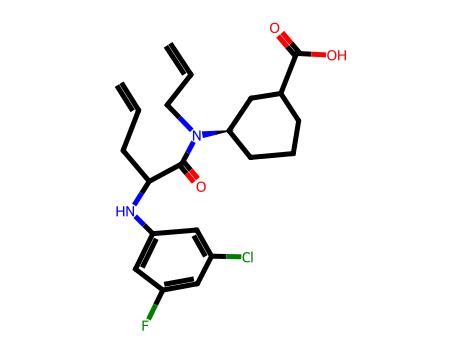 C=CCC(Nc1cc(F)cc(Cl)c1)C(=O)N(CC=C)[C@@H]1CCCC(C(=O)O)C1